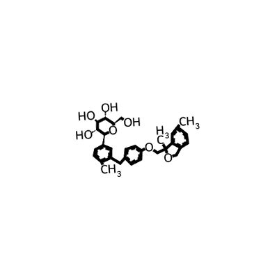 Cc1ccc2c(c1)C(C)(COc1ccc(Cc3cc([C@@H]4O[C@H](CO)[C@@H](O)[C@H](O)[C@H]4O)ccc3C)cc1)OC2